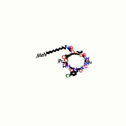 C/C=C(\C)[C@H]1OC(=O)[C@@H](C)NC(=O)[C@H](C(C)CC)NC(=O)CN(C)C(=O)[C@@H](Cc2ccc(Cl)cc2)N(C)C(=O)[C@H](C)NC(=O)[C@@H](CC(C)C)OC(=O)/C(C)=C/C[C@H](OCC(=O)N(C)CCCCCCCCCCCCNC)[C@@H]1C